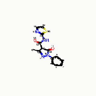 CC1=NN(c2ccccc2)C(=O)C1C(=O)Nc1nccs1